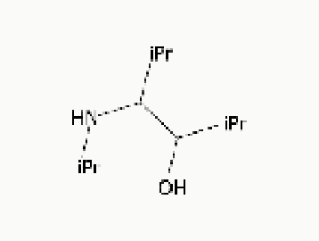 CC(C)NC(C(C)C)C(O)C(C)C